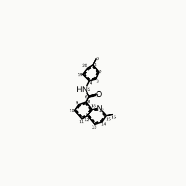 Cc1ccc(NC(=O)c2cccc3ccc(C)nc23)cc1